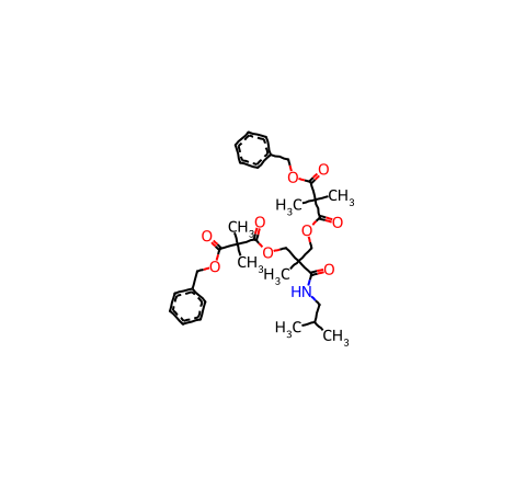 CC(C)CNC(=O)C(C)(COC(=O)C(C)(C)C(=O)OCc1ccccc1)COC(=O)C(C)(C)C(=O)OCc1ccccc1